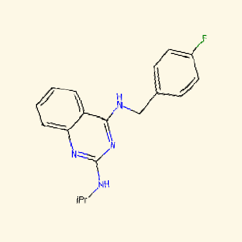 CC(C)Nc1nc(NCc2ccc(F)cc2)c2ccccc2n1